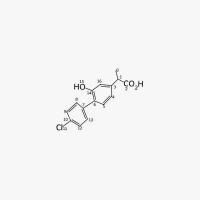 CC(C(=O)O)c1ccc(-c2ccc(Cl)cc2)c(O)c1